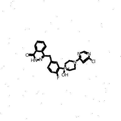 O=c1[nH]nc(Cc2ccc(F)c([PH]3(O)CCN(c4cc(Cl)ncn4)CC3)c2)c2ccccc12